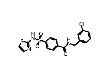 O=C(NCc1cccc(Cl)c1)c1ccc(S(=O)(=O)Nc2nccs2)cc1